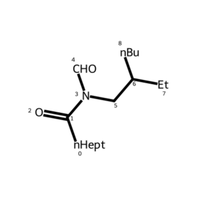 CCCCCCCC(=O)N(C=O)CC(CC)CCCC